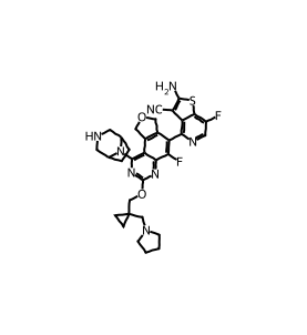 N#Cc1c(N)sc2c(F)cnc(-c3c4c(c5c(N6C7CCC6CNC7)nc(OCC6(CN7CCCC7)CC6)nc5c3F)COC4)c12